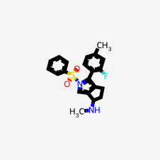 CNC1CCc2c1cn(S(=O)(=O)c1ccccc1)c2-c1ccc(C)cc1F